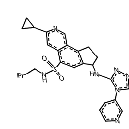 CC(C)CNS(=O)(=O)c1cc2c(c3cnc(C4CC4)cc13)CCC2Nc1nncn1-c1cccnc1